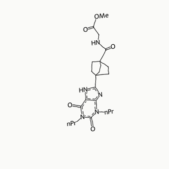 CCCn1c(=O)c2[nH]c(C34CCC(C(=O)NCC(=O)OC)(CC3)CC4)nc2n(CCC)c1=O